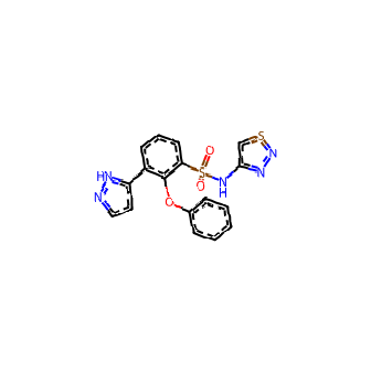 O=S(=O)(Nc1csnn1)c1cccc(-c2ccn[nH]2)c1Oc1ccccc1